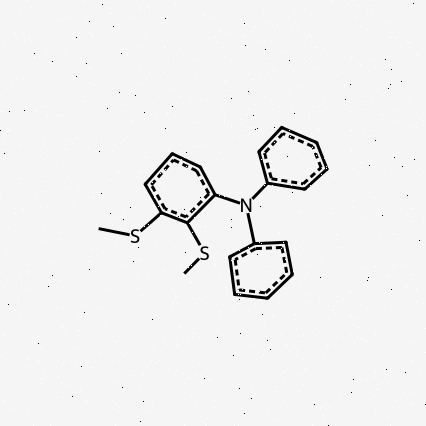 CSc1cccc(N(c2ccccc2)c2ccccc2)c1SC